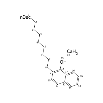 CCCCCCCCCCCCCCCCCCc1ccc2ccccc2c1O.[CaH2]